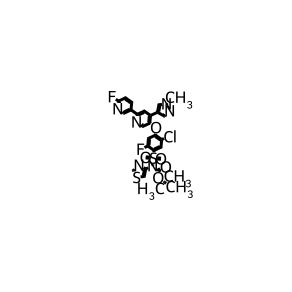 Cn1cc(-c2cc(-c3ccc(F)nc3)ncc2Oc2cc(F)c(S(=O)(=O)N(C(=O)OC(C)(C)C)c3cscn3)cc2Cl)cn1